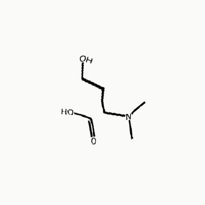 CN(C)CCCO.O=CO